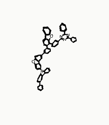 c1ccc(-c2ccc3c(c2)c2ccccc2n3-c2ccc3oc4ccc(-c5cccc(-c6ccc7c(oc8ccccc87)c6-c6cccc(-c7nc(-c8ccccc8)nc(-c8ccccc8)n7)c6)c5)cc4c3c2)cc1